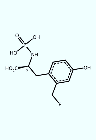 O=C(O)[C@H](Cc1ccc(O)cc1CF)NP(=O)(O)O